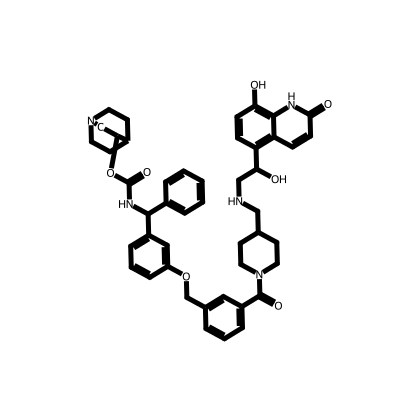 O=C(NC(c1ccccc1)c1cccc(OCc2cccc(C(=O)N3CCC(CNCC(O)c4ccc(O)c5[nH]c(=O)ccc45)CC3)c2)c1)OC1CN2CCC1CC2